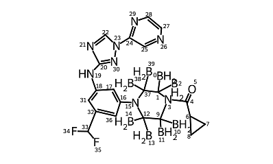 BC1(B)N(C(=O)C2CC2)C(B)(B)C(B)(B)N(c2cc(Nc3ncn(-c4cnccn4)n3)cc(C(F)F)c2)C1(B)B